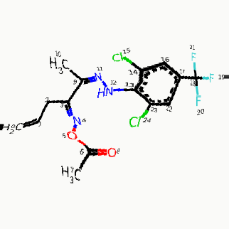 C=CCC(=NOC(C)=O)C(C)=NNc1c(Cl)cc(C(F)(F)F)cc1Cl